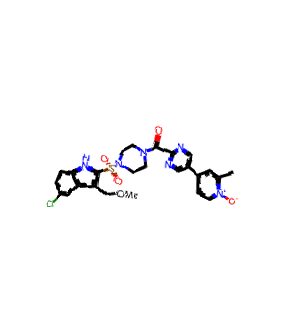 COCc1c(S(=O)(=O)N2CCN(C(=O)c3ncc(-c4cc[n+]([O-])c(C)c4)cn3)CC2)[nH]c2ccc(Cl)cc12